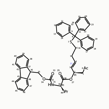 CC(=O)C[C@H](/C=C/CCSC(c1ccccc1)(c1ccccc1)c1ccccc1)OC(=O)[C@H](NC(=O)OCC1c2ccccc2-c2ccccc21)C(C)C